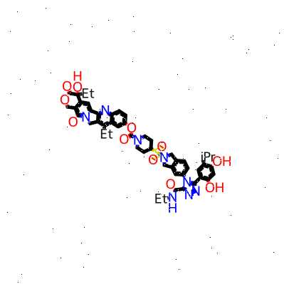 CCNC(=O)c1nnc(-c2cc(C(C)C)c(O)cc2O)n1-c1ccc2c(c1)CN(S(=O)(=O)C1CCN(C(=O)Oc3ccc4nc5c(c(CC)c4c3)Cn3c-5cc4c(c3=O)COC(=O)C4(O)CC)CC1)C2